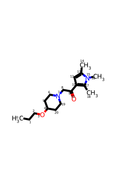 CCCOC1CCN(CC(=O)c2cc(C)n(C)c2C)CC1